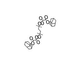 CC(C)(CCC(C)(C)OOC(=O)C(=O)OC12CC3CC(CC(C3)C1)C2)OOC(=O)C(=O)OC12CC3CC(CC(C3)C1)C2